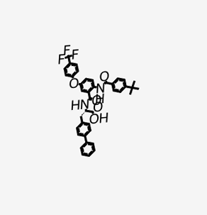 CC(C)(C)c1ccc(C(=O)Nc2ccc(Oc3ccc(C(F)(F)F)cc3)cc2C(=O)N[C@@H](Cc2ccc(-c3ccccc3)cc2)C(=O)O)cc1